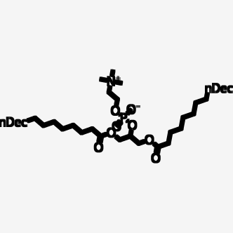 CCCCCCCCCCCCCCCCCC(=O)OCC(COC(=O)CCCCCCCCCCCCCCCCC)OP(=O)([O-])OCC[N+](C)(C)C